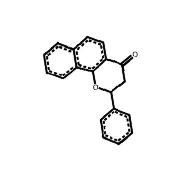 O=C1CC(c2ccccc2)Oc2c1ccc1ccccc21